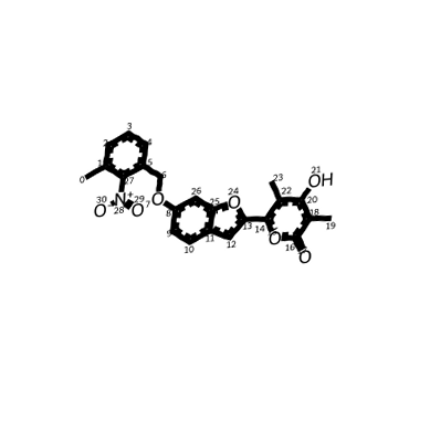 Cc1cccc(COc2ccc3cc(-c4oc(=O)c(C)c(O)c4C)oc3c2)c1[N+](=O)[O-]